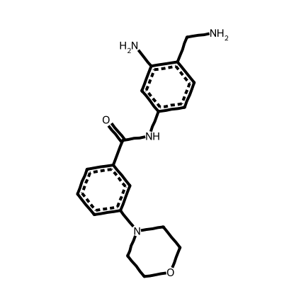 NCc1ccc(NC(=O)c2cccc(N3CCOCC3)c2)cc1N